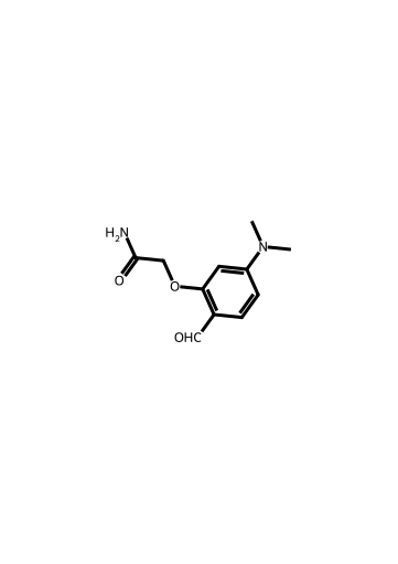 CN(C)c1ccc(C=O)c(OCC(N)=O)c1